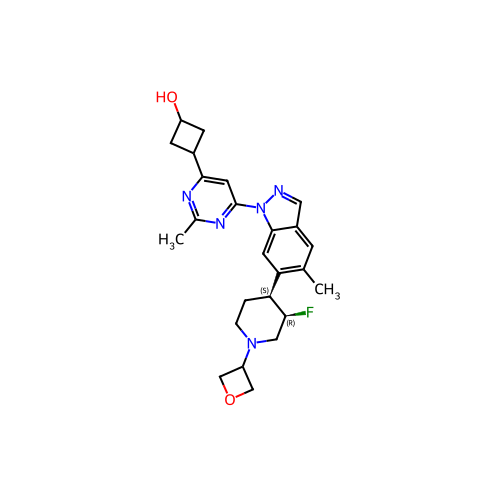 Cc1nc(C2CC(O)C2)cc(-n2ncc3cc(C)c([C@@H]4CCN(C5COC5)C[C@@H]4F)cc32)n1